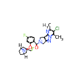 Cc1nc2c3c(nn2c(C)c1Cl)CN(C(=O)c1ccc(F)cc1O[C@H]1C[C@H]2CC[C@@H](C1)N2CCF)C3